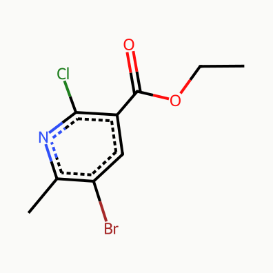 CCOC(=O)c1cc(Br)c(C)nc1Cl